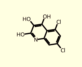 Oc1nc2cc(Cl)cc(Cl)c2c(O)c1O